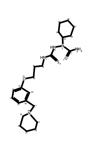 NC(=O)N(NC(=S)NCCCOc1cccc(CN2CCCCC2)c1)C1CCCCC1